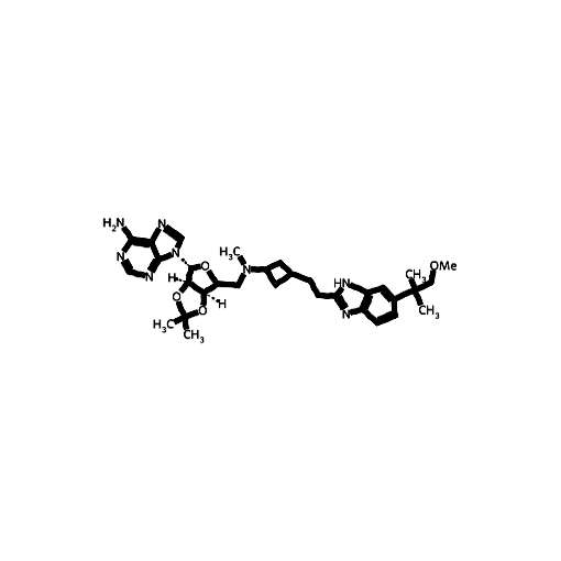 COCC(C)(C)c1ccc2nc(CCC3CC(N(C)CC4O[C@@H](n5cnc6c(N)ncnc65)[C@@H]5OC(C)(C)O[C@H]45)C3)[nH]c2c1